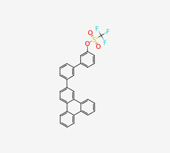 O=S(=O)(Oc1cccc(-c2cccc(-c3ccc4c5ccccc5c5ccccc5c4c3)c2)c1)C(F)(F)F